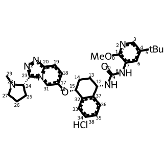 COc1ncc(C(C)(C)C)cc1NC(=O)N[C@H]1CC[C@@H](Oc2ccc3nnc([C@@H]4CCCN4C)n3c2)c2ccccc21.Cl